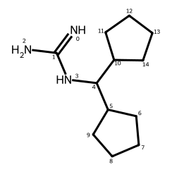 N=C(N)NC(C1CCCC1)C1CCCC1